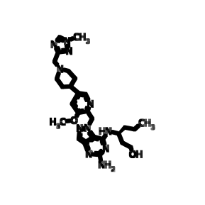 CCC[C@@H](CCO)Nc1nc(N)nc2cnn(Cc3ncc(C4CCN(Cc5ncn(C)n5)CC4)cc3OC)c12